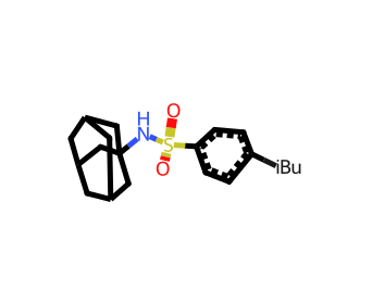 CCC(C)c1ccc(S(=O)(=O)NC23CC4CC(CC(C4)C2)C3)cc1